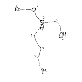 CCO[SiH](CO)CCCS